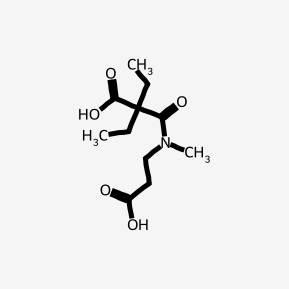 CCC(CC)(C(=O)O)C(=O)N(C)CCC(=O)O